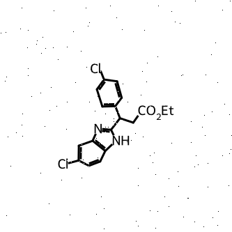 CCOC(=O)CC(c1ccc(Cl)cc1)c1nc2cc(Cl)ccc2[nH]1